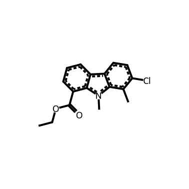 CCOC(=O)c1cccc2c3ccc(Cl)c(C)c3n(C)c12